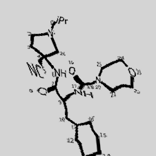 CC(C)N1CCC(C#N)(NC(=O)C(CC2CCCCC2)NC(=O)N2CCOCC2)C1